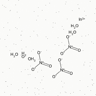 O.O.O.O.O.O=[N+]([O-])[O-].O=[N+]([O-])[O-].O=[N+]([O-])[O-].[In+3]